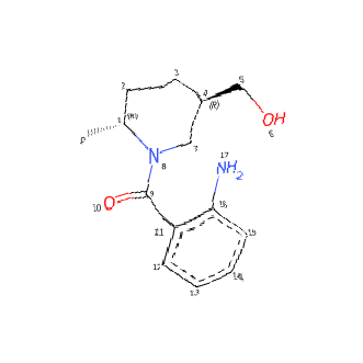 C[C@@H]1CC[C@@H](CO)CN1C(=O)c1ccccc1N